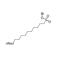 CCCCCCCCCCCCCCCCCCCS(=O)(=O)OBr